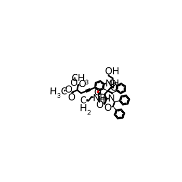 C=CCNC(=O)[C@@H]1[C@H]2C(=O)O[C@H](c3ccccc3)[C@H](c3ccccc3)N2[C@H](c2ccccc2OCCO)[C@@]12C(=O)Nc1ccc(C#CCC(C(=O)OC)C(=O)OC)cc12